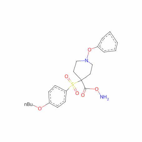 CCCCOc1ccc(S(=O)(=O)C2(C(=O)ON)CCN(Oc3ccccc3)CC2)cc1